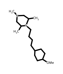 COC1CCC(CCCCN2C(C)CN(C)CC2C)CC1